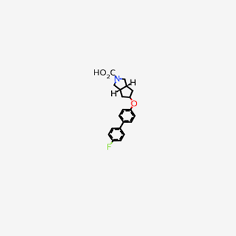 O=C(O)N1C[C@H]2CC(Oc3ccc(-c4ccc(F)cc4)cc3)C[C@H]2C1